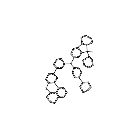 CC1(c2ccccc2)c2ccccc2-c2ccc(N(c3ccc(-c4ccccc4)cc3)c3cccc(-c4ccc5c(c4)-c4cccc6cccc(c46)S5)c3)cc21